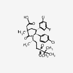 C[C@@H](CCS(=O)(=O)C(C)(C)C)N1C(=O)[C@@](C)(CC(=O)O)C[C@H](c2cc(F)cc(Cl)c2)[C@H]1c1ccc(Cl)cc1